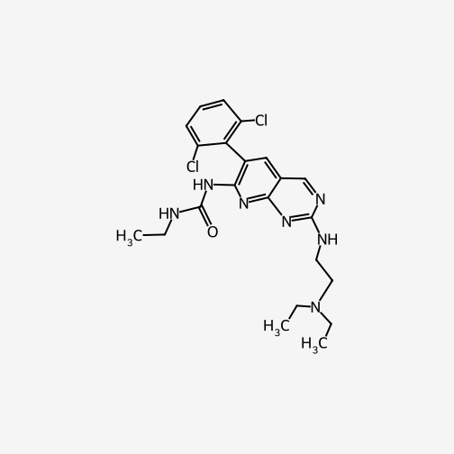 CCNC(=O)Nc1nc2nc(NCCN(CC)CC)ncc2cc1-c1c(Cl)cccc1Cl